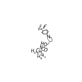 CC(C)(C)NC(=O)OCC1CCN(c2ccc(C(F)(F)F)cc2)C1